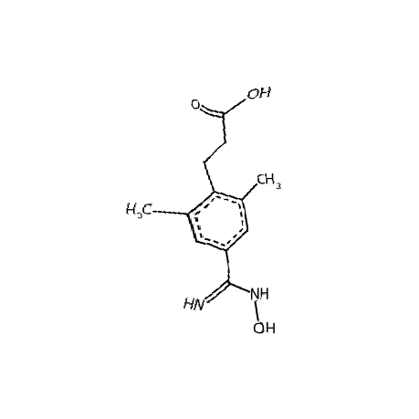 Cc1cc(C(=N)NO)cc(C)c1CCC(=O)O